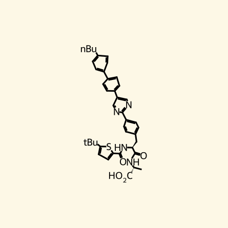 CCCCc1ccc(-c2ccc(-c3cnc(-c4ccc(C[C@H](NC(=O)c5ccc(C(C)(C)C)s5)C(=O)N[C@H](C)C(=O)O)cc4)nc3)cc2)cc1